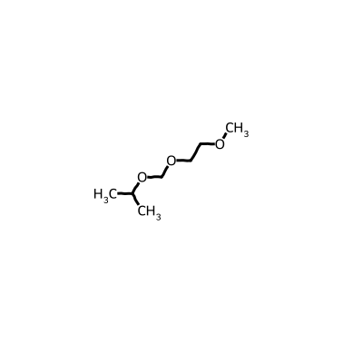 COCCOCOC(C)C